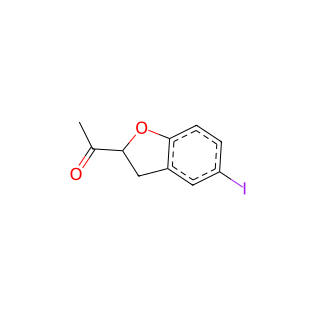 CC(=O)C1Cc2cc(I)ccc2O1